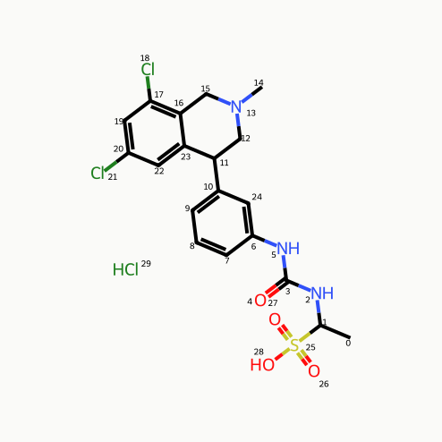 CC(NC(=O)Nc1cccc(C2CN(C)Cc3c(Cl)cc(Cl)cc32)c1)S(=O)(=O)O.Cl